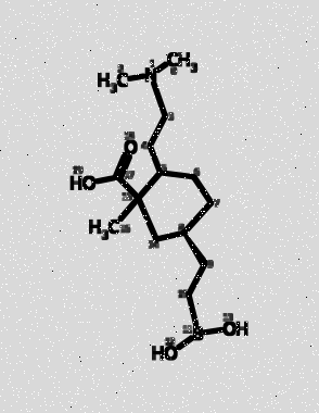 CN(C)CCC1CC[C@@H](CCB(O)O)CC1(C)C(=O)O